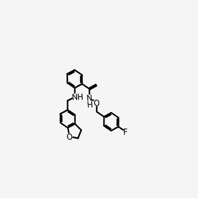 C=C(NOCc1ccc(F)cc1)c1ccccc1NCc1ccc2c(c1)CCO2